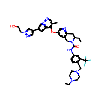 CCC1Cc2ncc(Oc3c(C)cnn4cc(-c5cnn(CCO)c5)cc34)cc2CN1C(=O)Nc1ccc(CN2CCN(CC)CC2)c(C(F)(F)F)c1